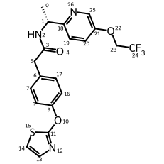 C[C@@H](NC(=O)Cc1ccc(Oc2nccs2)cc1)c1ccc(OCC(F)(F)F)cn1